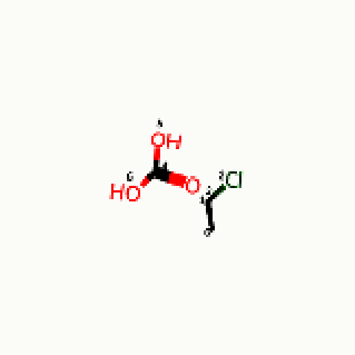 CCCl.O=C(O)O